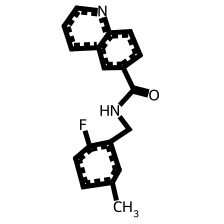 Cc1ccc(F)c(CNC(=O)c2ccc3ncccc3c2)c1